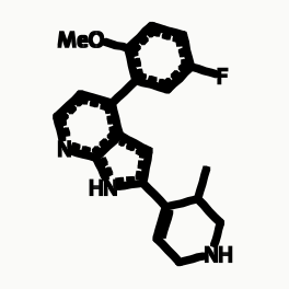 COc1ccc(F)cc1-c1ccnc2[nH]c(C3=CCNCC3C)cc12